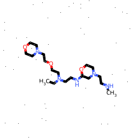 CCN(CCNC1CN(CCNC)CCO1)CCOCCN1CCOCC1